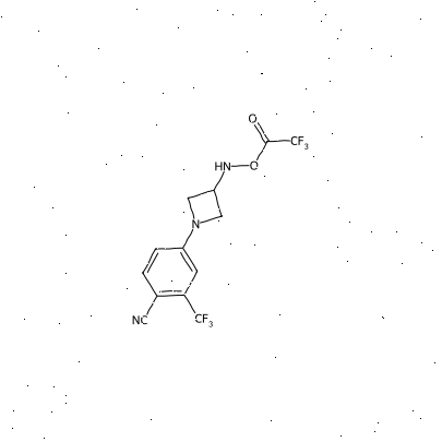 N#Cc1ccc(N2CC(NOC(=O)C(F)(F)F)C2)cc1C(F)(F)F